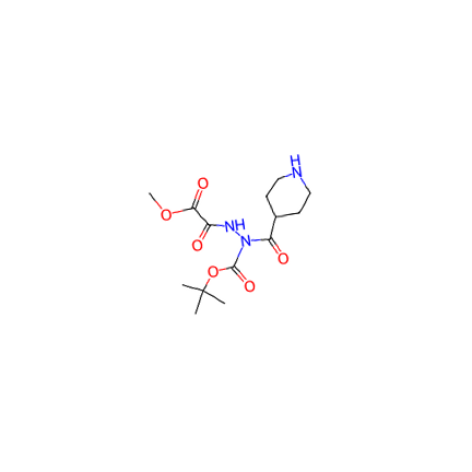 COC(=O)C(=O)NN(C(=O)OC(C)(C)C)C(=O)C1CCNCC1